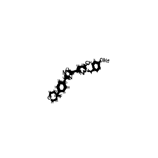 COc1ccc(Cn2nc(-c3nc(-c4ccc(C5(F)CCOCC5)cc4)no3)cc2C)cc1